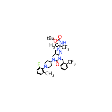 Cc1cccc(F)c1N1CCC(N2Cc3cn(C(C)(NC(=O)OC(C)(C)C)C(F)(F)F)nc3N(Cc3ccccc3C(F)(F)F)C2=O)CC1